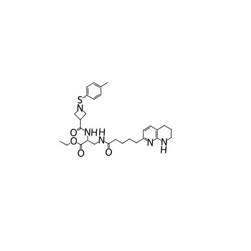 CCOC(=O)C(CNC(=O)CCCCc1ccc2c(n1)NCCC2)NC(=O)C1CN(Sc2ccc(C)cc2)C1